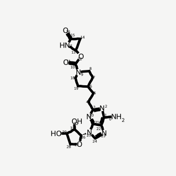 Nc1nc(CCC2CCN(C(=O)OC3CC(=O)N3)CC2)nc2c1ncn2[C@@H]1OCC(O)C1O